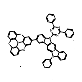 C1=CC(n2c3ccccc3c3cc4c(cc32)c2cc(-c3cc5c6c(c3)Sc3cccc7c3N6c3c(cccc3S5)S7)ccc2n4-c2nc(-c3ccccc3)nc(-c3ccccc3)n2)=CCC1